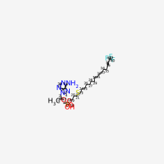 C[C@H](Cn1cnc2c(N)ncnc21)OCP(=O)(O)OCCCSCCCCCCCCCCCCCC#CC(F)(F)F